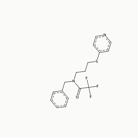 O=C(N(CCCSc1ccncc1)Cc1ccccc1)C(F)(F)F